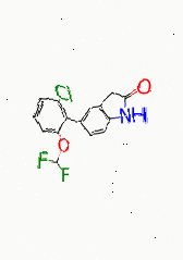 O=C1Cc2cc(-c3c(Cl)cccc3OC(F)F)ccc2N1